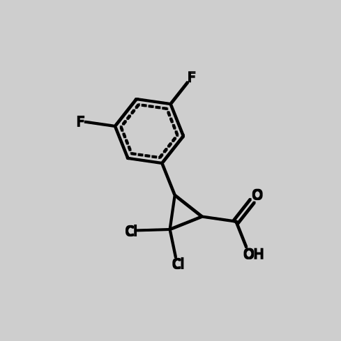 O=C(O)C1C(c2cc(F)cc(F)c2)C1(Cl)Cl